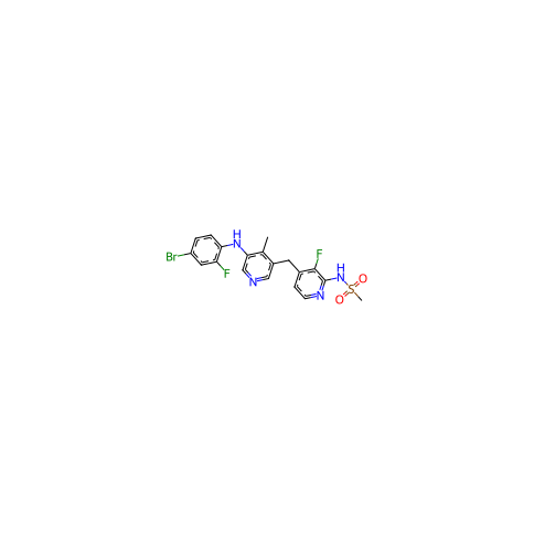 Cc1c(Cc2ccnc(NS(C)(=O)=O)c2F)cncc1Nc1ccc(Br)cc1F